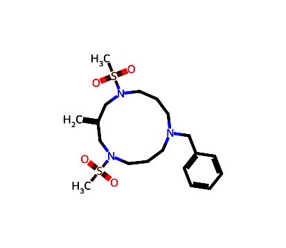 C=C1CN(S(C)(=O)=O)CCCN(Cc2ccccc2)CCCN(S(C)(=O)=O)C1